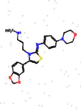 CCOC(=O)NCCCn1c(-c2ccc3c(c2)OCO3)cs/c1=N\c1ccc(N2CCOCC2)cc1